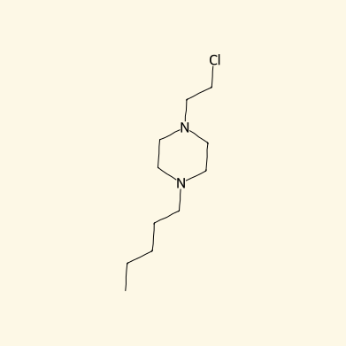 CCCCCN1CCN(CCCl)CC1